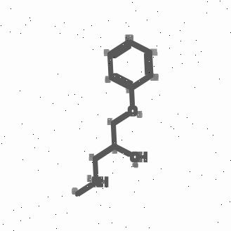 CNCC(O)COc1ccccc1